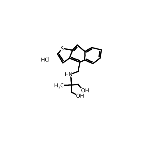 CC(CO)(CO)NCc1c2ccccc2cc2sccc12.Cl